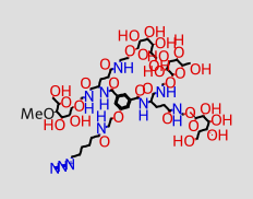 CO[C@@H]1C(CO)O[C@@H](OCNC(=O)C(CCC(=O)NCCO[C@@H]2OC(CO)[C@@H](O)C(O)C2O)NC(=O)c2cc(OCCNC(=O)CCCCCN=[N+]=[N-])cc(C(=O)NC(CCC(=O)NCO[C@@H]3OC(CO)[C@@H](O)C(O)C3O)C(=O)NCO[C@@H]3OC(CO)[C@@H](O)C(O)C3O)c2)C(O)C1O